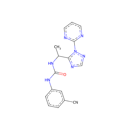 CC(NC(=O)Nc1cccc(C#N)c1)c1ncnn1-c1ncccn1